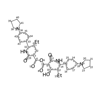 CCc1cc(C(=O)OC(=O)c2c(O)c(CC)c(-c3ccc(N4CCCC4)cc3)[nH]c2=O)c(=O)[nH]c1-c1ccc(N2CCCC2)cc1